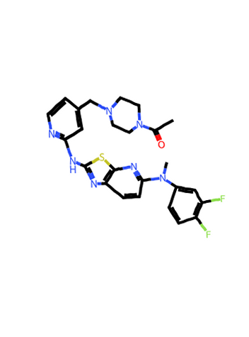 CC(=O)N1CCN(Cc2ccnc(Nc3nc4ccc(N(C)c5ccc(F)c(F)c5)nc4s3)c2)CC1